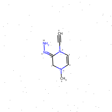 C#CN1C=CN(C)C/C1=N/N